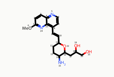 COc1ccc2nccc(/C=C/C3CCC(N)C(CC(O)CO)O3)c2n1